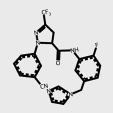 N#Cc1cccc(N2N=C(C(F)(F)F)CC2C(=O)Nc2cc(Cn3ccnc3)ccc2F)c1